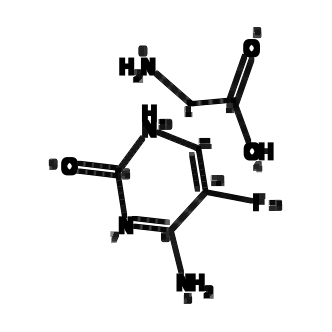 NCC(=O)O.Nc1nc(=O)[nH]cc1F